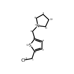 ClCc1ccc(CN2CCCC2)s1